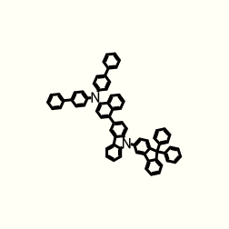 c1ccc(-c2ccc(N(c3ccc(-c4ccccc4)cc3)c3ccc(-c4ccc5c(c4)c4ccccc4n5-c4ccc5c(c4)-c4ccccc4C5(c4ccccc4)c4ccccc4)c4ccccc34)cc2)cc1